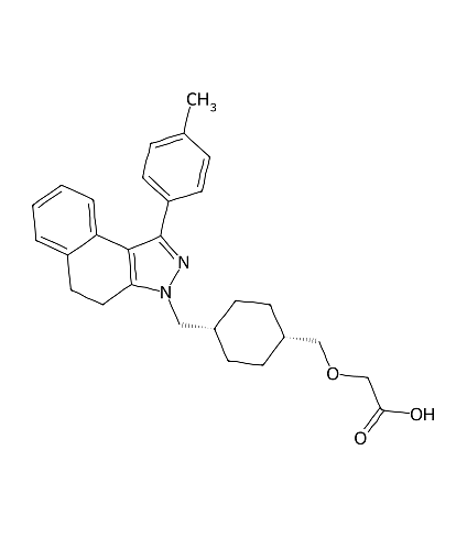 Cc1ccc(-c2nn(C[C@H]3CC[C@@H](COCC(=O)O)CC3)c3c2-c2ccccc2CC3)cc1